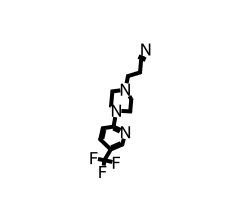 N#CCCN1CCN(c2ccc(C(F)(F)F)cn2)CC1